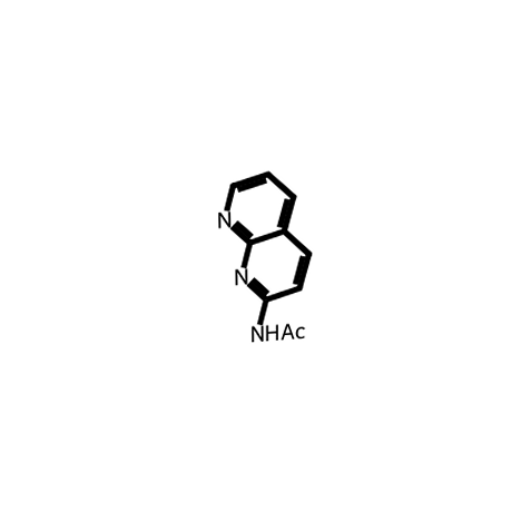 CC(=O)Nc1ccc2cccnc2n1